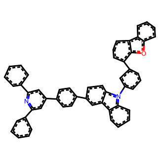 c1ccc(-c2cc(-c3ccc(-c4ccc5c(c4)c4ccccc4n5-c4cccc(-c5cccc6c5oc5ccccc56)c4)cc3)cc(-c3ccccc3)n2)cc1